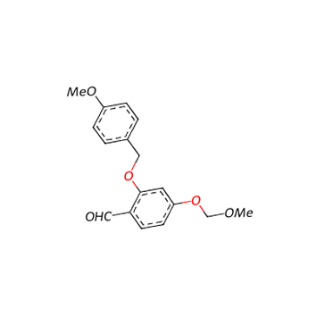 COCOc1ccc(C=O)c(OCc2ccc(OC)cc2)c1